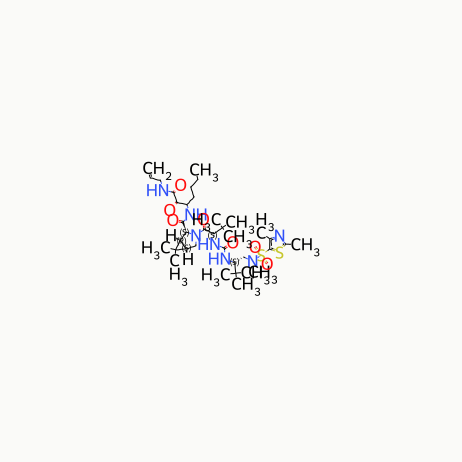 C=CCNC(=O)C(=O)C(CCCC)NC(=O)[C@@H]1[C@@H]2[C@H](CN1C(=O)[C@@H](NC(=O)N[C@H](CN(C)S(=O)(=O)c1sc(C)nc1C)C(C)(C)C)C(C)(C)C)C2(C)C